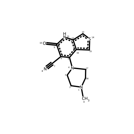 CN1CCN(c2c(C#N)c(=O)[nH]c3cscc23)CC1